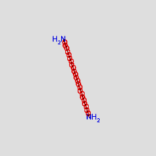 NCCOCCOCCOCCOCCOCCOCCOCCOCCOCCOCCOCCOCCOCCOCCOCCOCCOCCOCCOCCOCCOCCOCCOCCN